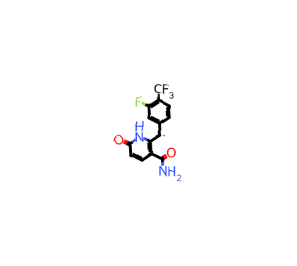 NC(=O)c1ccc(=O)[nH]c1[CH]c1ccc(C(F)(F)F)c(F)c1